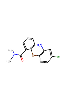 CN(C)C(=O)c1ccccc1Sc1ccc(Br)cc1N